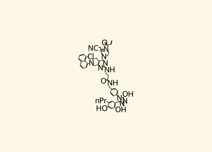 C=CC(=O)N1CCN(c2nc(NCCC(=O)NCc3ccc(-n4c(O)nnc4-c4cc(CCC)c(O)cc4O)cc3)nc3c2CCN(c2cccc4cccc(Cl)c24)C3)C[C@H]1CC#N